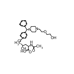 CC(=O)NC(CC(C)C)C(=O)O.OCCOCCN1CCN(C(c2ccccc2)c2ccc(Cl)cc2)CC1